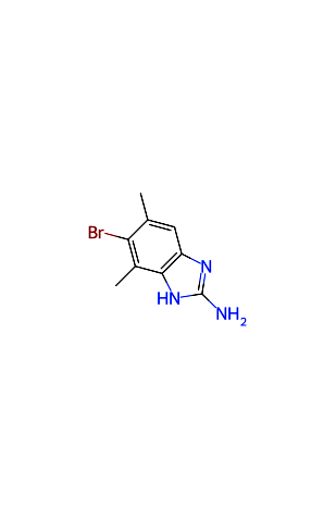 Cc1cc2nc(N)[nH]c2c(C)c1Br